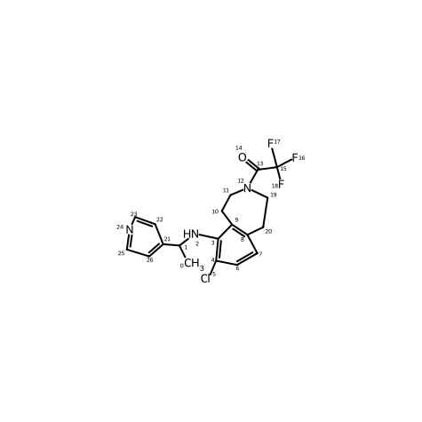 CC(Nc1c(Cl)ccc2c1CCN(C(=O)C(F)(F)F)CC2)c1ccncc1